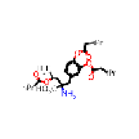 CCCC(=O)O[C@@H](C)CC(N)(Cc1ccc(OC(=O)CC(C)C)c(OC(=O)CC(C)C)c1)C(=O)O